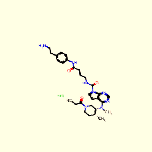 C[C@@H]1CCN(C(=O)CC#N)C[C@@H]1N(C)c1ncnc2c1ccn2C(=O)NCCCC(=O)Nc1ccc(CCN)cc1.Cl